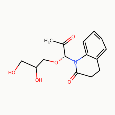 CC(=O)[C@@H](OCC(O)CO)N1C(=O)CCc2ccccc21